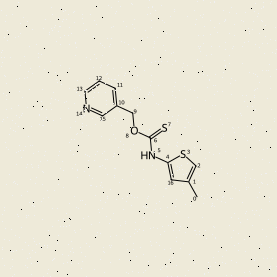 Cc1csc(NC(=S)OCc2cccnc2)c1